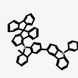 CC12C=CC=CC1c1cc(-c3ccc4c(c3)c3ccccc3n4-c3ccccc3)ccc1N2c1cccc2c1-c1ccccc1C21c2ccccc2-c2ccccc21